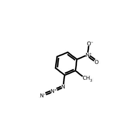 Cc1c(N=[N+]=[N-])cccc1[N+](=O)[O-]